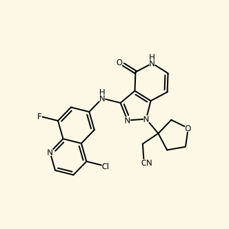 N#CCC1(n2nc(Nc3cc(F)c4nccc(Cl)c4c3)c3c(=O)[nH]ccc32)CCOC1